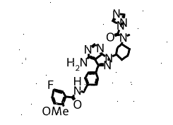 COc1ccc(F)cc1C(=O)NCc1ccc(-c2nn(C3CCCC(N(C)C(=O)n4cncn4)C3)c3ncnc(N)c23)cc1